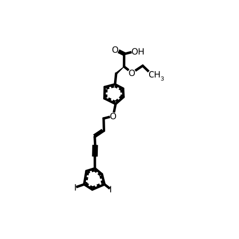 CCO[C@@H](Cc1ccc(OC/C=C/C#Cc2cc(I)cc(I)c2)cc1)C(=O)O